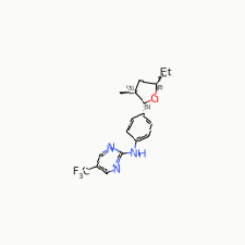 CC[C@@H]1C[C@H](C)[C@@H](c2ccc(Nc3ncc(C(F)(F)F)cn3)cc2)O1